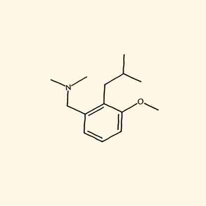 COc1cccc(CN(C)C)c1CC(C)C